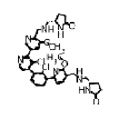 COc1cc(-c2nccc(-c3cccc(-c4ccc(CNC[C@H]5CCC(=O)N5)c(OC)n4)c3Cl)c2Cl)cnc1CNC[C@@H]1CCC(=O)N1